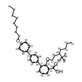 CCCCCCCCOc1ccc(-c2ccc(-c3cccc(C(=O)O)c3OCCC(CCCC)C(F)(F)F)cc2)cc1